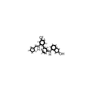 O[C@H]1Cc2cccc(Nc3cc(-c4ccc(C(F)(F)F)cc4NCC4CCCC4)ncn3)c2C1